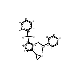 C[C@@H](Cn1c(C2CC2)nnc1C(C)(C)c1ccccn1)c1ccccc1